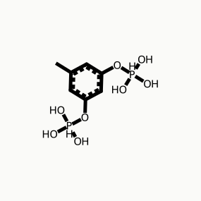 Cc1cc(O[PH](O)(O)O)cc(O[PH](O)(O)O)c1